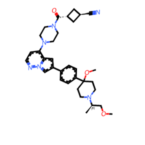 COC[C@@H](C)N1CCC(OC)(c2ccc(-c3cc4c(N5CCN(C(=O)[C@H]6C[C@H](C#N)C6)CC5)ccnn4c3)cc2)CC1